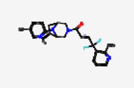 COc1ncccc1C(F)(F)/C=C/C(=O)N1CC2C[C@H](C)C(C1)N2c1ccc(C#N)cn1